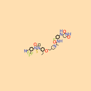 CCc1cc(N2C(=S)N(c3ccc(C#N)c(C(F)(F)F)c3)C(=O)C23CCC3)ccc1OCCC1CCN(C(C)C(=O)Nc2cc(NC3CCC(=O)NC3=O)ccc2F)CC1